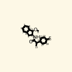 CO[C@@H]1c2ccccc2C[C@H]1NC(=O)C(C)c1ccc(F)cc1